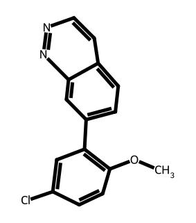 COc1ccc(Cl)cc1-c1ccc2ccnnc2c1